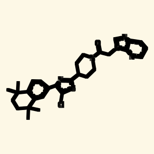 CC1(C)CCC(C)(C)c2cc(-c3nc(C4CCN(C(=O)Cn5cnc6cccnc65)CC4)sc3Cl)ccc21